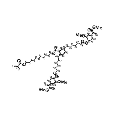 C=C(C)C(=O)OCCCCCCCCCCCOC(=O)c1cc(CCCCCCOOc2ccc(C(=C)C(=O)OC)cc2OC)ccc1CCCCCCOOc1ccc(C(=C)C(=O)OC)cc1OC